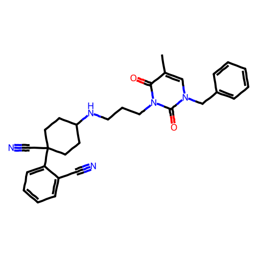 Cc1cn(Cc2ccccc2)c(=O)n(CCCNC2CCC(C#N)(c3ccccc3C#N)CC2)c1=O